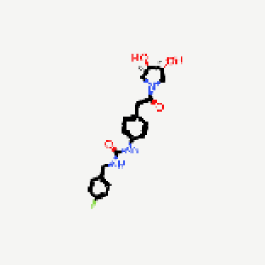 O=C(NCc1ccc(F)cc1)Nc1ccc(CC(=O)N2C[C@@H](O)[C@H](O)C2)cc1